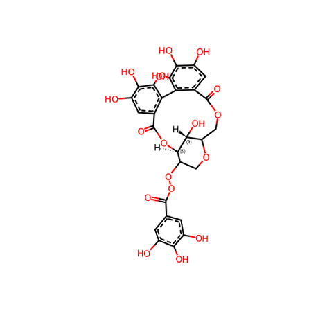 O=C(OOC1COC2COC(=O)c3cc(O)c(O)c(O)c3-c3c(cc(O)c(O)c3O)C(=O)O[C@H]1[C@@H]2O)c1cc(O)c(O)c(O)c1